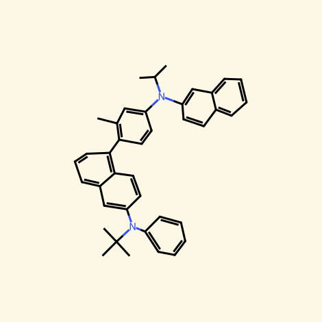 Cc1cc(N(c2ccc3ccccc3c2)C(C)C)ccc1-c1cccc2cc(N(c3ccccc3)C(C)(C)C)ccc12